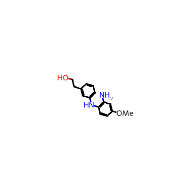 COc1ccc(Nc2cccc(CCO)c2)c(N)c1